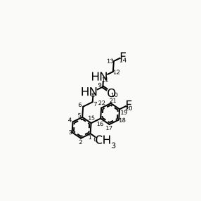 Cc1cccc(CCNC(=O)NCCF)c1-c1ccc(F)cc1